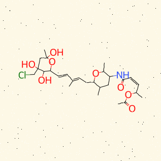 CC(=O)OC(C)/C=C\C(=O)NC1CC(C)C(C/C=C(C)/C=C/C2OC(C)(O)CC(O)(CCl)C2O)OC1C